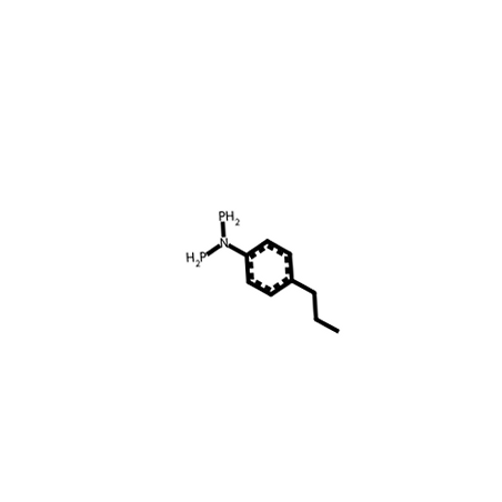 CCCc1ccc(N(P)P)cc1